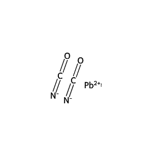 [N-]=C=O.[N-]=C=O.[Pb+2]